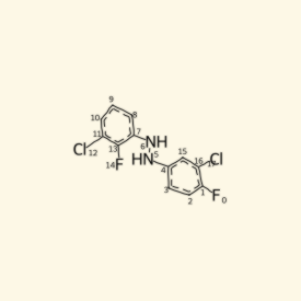 Fc1ccc(NNc2cccc(Cl)c2F)cc1Cl